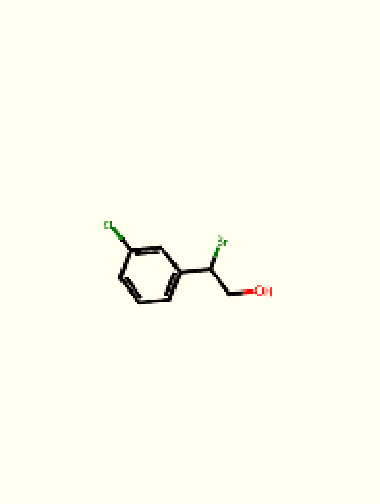 OCC(Br)c1cccc(Cl)c1